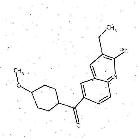 CCc1cc2cc(C(=O)C3CCC(OC)CC3)ccc2nc1[18F]